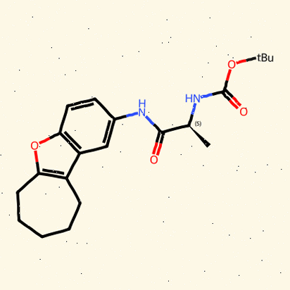 C[C@H](NC(=O)OC(C)(C)C)C(=O)Nc1ccc2oc3c(c2c1)CCCCC3